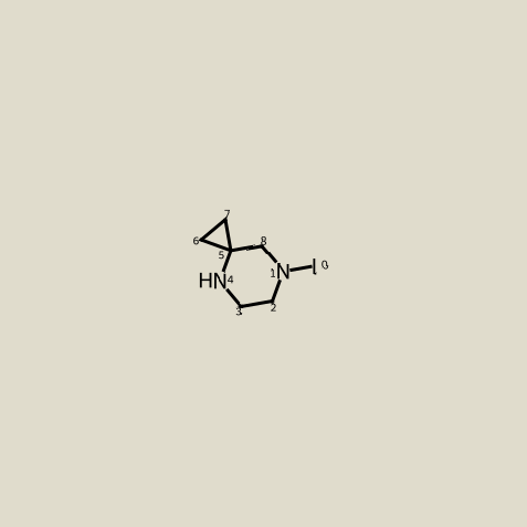 IN1CCNC2(CC2)C1